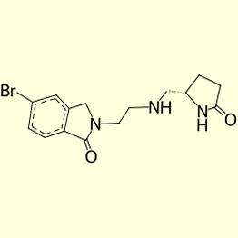 O=C1CC[C@@H](CNCCN2Cc3cc(Br)ccc3C2=O)N1